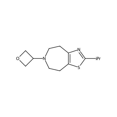 CC(C)c1nc2c(s1)CCN(C1COC1)CC2